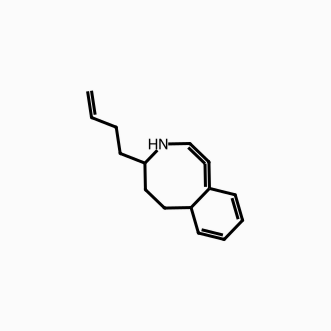 C=CCCC1CCC2C=CC=CC2=C=CN1